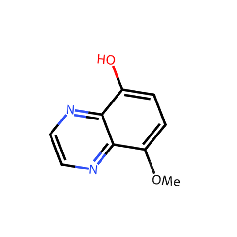 COc1ccc(O)c2nccnc12